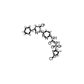 O=C(Nc1ccc(N2N=C(c3ccccc3)CC2=O)nn1)NS(=O)(=O)c1ccc(Cl)s1